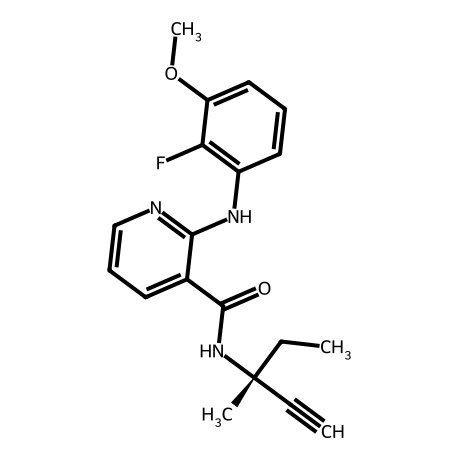 C#C[C@@](C)(CC)NC(=O)c1cccnc1Nc1cccc(OC)c1F